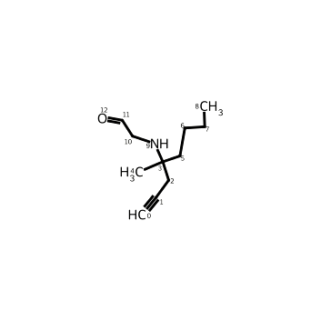 C#CCC(C)(CCCC)NCC=O